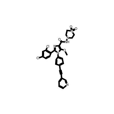 COc1c(C(=O)NN2CCS(=O)(=O)CC2)nc(-c2ccc(Cl)cc2Cl)n1-c1ccc(C#Cc2cccnc2)cc1